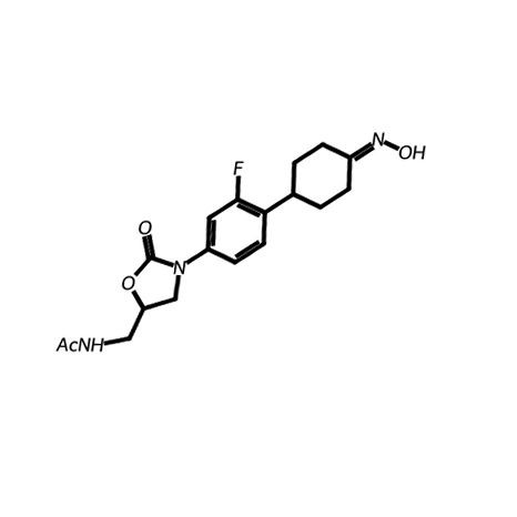 CC(=O)NCC1CN(c2ccc(C3CCC(=NO)CC3)c(F)c2)C(=O)O1